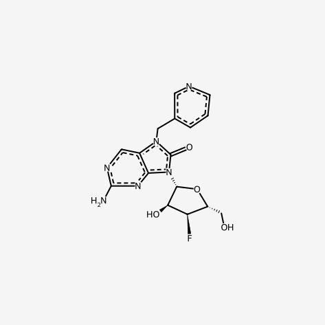 Nc1ncc2c(n1)n([C@@H]1O[C@H](CO)[C@@H](F)[C@H]1O)c(=O)n2Cc1cccnc1